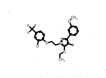 CCOc1c(F)c(-c2cccc(OC)c2)nn1CCOc1ccc(C(F)(F)F)cc1Cl